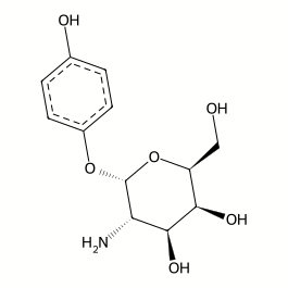 N[C@@H]1[C@H](Oc2ccc(O)cc2)O[C@@H](CO)[C@@H](O)[C@H]1O